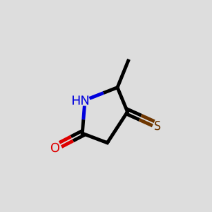 CC1NC(=O)CC1=S